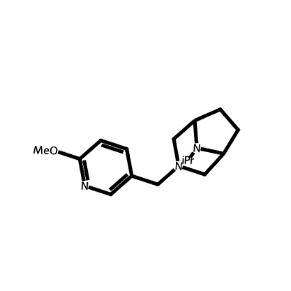 COc1ccc(CN2CC3CCC(C2)N3C(C)C)cn1